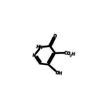 O=C(O)c1c(O)cn[nH]c1=O